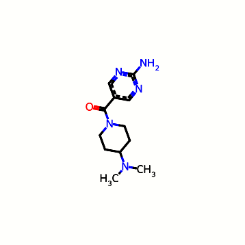 CN(C)C1CCN(C(=O)c2cnc(N)nc2)CC1